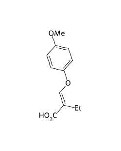 CC/C(=C\Oc1ccc(OC)cc1)C(=O)O